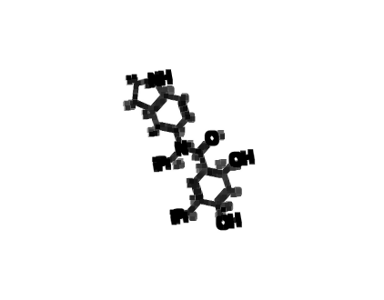 CC(C)c1cc(C(=O)N(c2ccc3c(c2)CCN3)C(C)C)c(O)cc1O